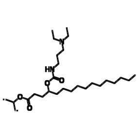 [CH2]C([CH2])OC(=O)CCC(CCCCCCCCCCCC)OC(=O)NCCCN(CC)CC